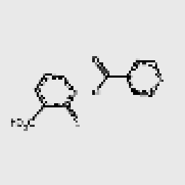 O=C(Nn1cccc(C(=O)O)c1=O)c1ccncc1